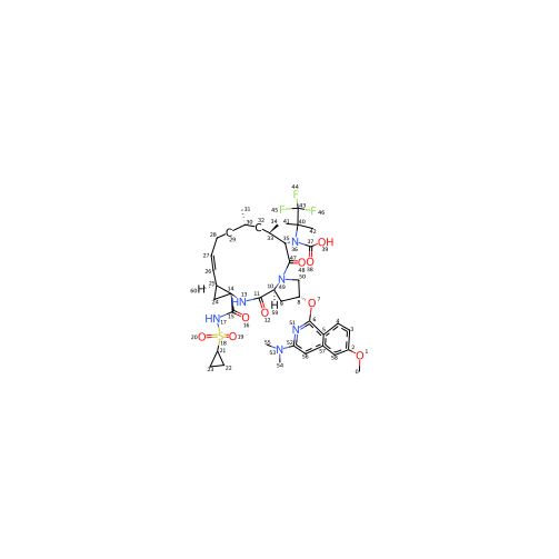 COc1ccc2c(O[C@@H]3C[C@H]4C(=O)N[C@]5(C(=O)NS(=O)(=O)C6CC6)C[C@H]5C=CCC[C@H](C)C[C@@H](C)[C@H](N(C(=O)O)C(C)(C)C(F)(F)F)C(=O)N4C3)nc(N(C)C)cc2c1